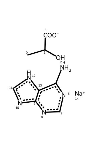 CC(O)C(=O)[O-].Nc1ncnc2nc[nH]c12.[Na+]